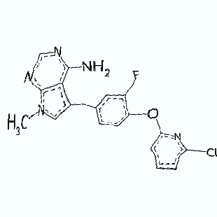 Cn1cc(-c2ccc(Oc3cccc(Cl)n3)c(F)c2)c2c(N)ncnc21